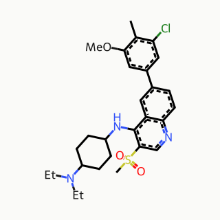 CCN(CC)C1CCC(Nc2c(S(C)(=O)=O)cnc3ccc(-c4cc(Cl)c(C)c(OC)c4)cc23)CC1